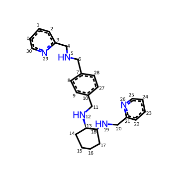 c1ccc(CNCc2ccc(CN[C@@H]3CCCC[C@H]3NCc3ccccn3)cc2)nc1